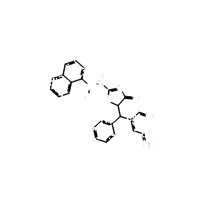 C=C/C=C(\C=C)C(c1ccccc1)C1SC(N[S+]([O-])c2cccc3ccccc23)=NC1=O